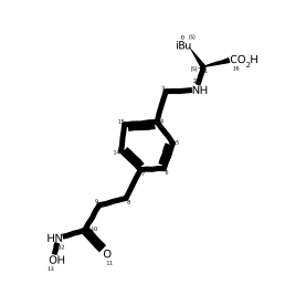 CC[C@H](C)[C@H](NCc1ccc(CCC(=O)NO)cc1)C(=O)O